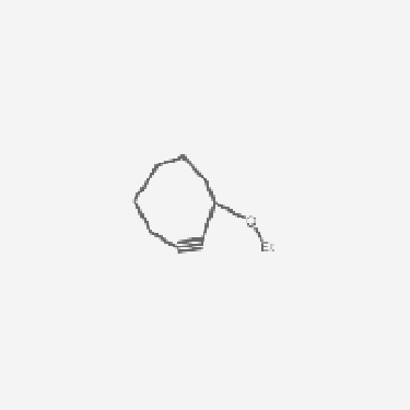 CCOC1C#CCCCCC1